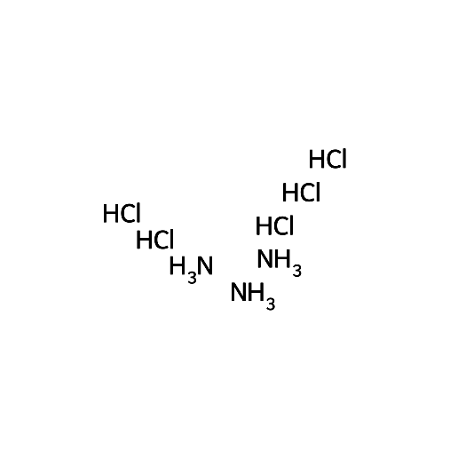 Cl.Cl.Cl.Cl.Cl.N.N.N